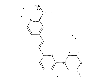 CC(N)c1cc(/C=C/c2cccc(N3C[C@@H](C)O[C@@H](C)C3)n2)ccn1